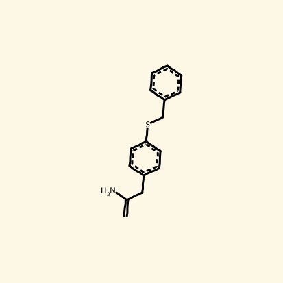 C=C(N)Cc1ccc(SCc2ccccc2)cc1